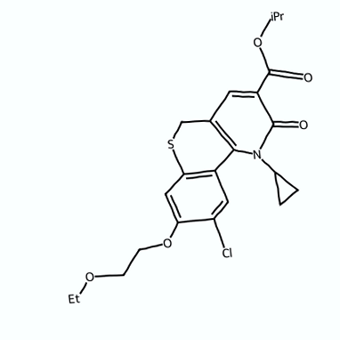 CCOCCOc1cc2c(cc1Cl)-c1c(cc(C(=O)OC(C)C)c(=O)n1C1CC1)CS2